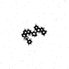 c1ccc(-c2nc3ccc4ccc5ccc(-c6cccc(-c7cc8c9ccccc9ccc8c8ccccc78)c6)cc5c4c3s2)cc1